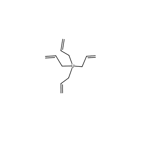 C=C[CH2][U]([CH2]C=C)([CH2]C=C)[CH2]C=C